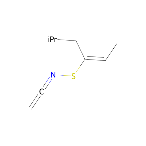 C=C=NS/C(=C/C)CC(C)C